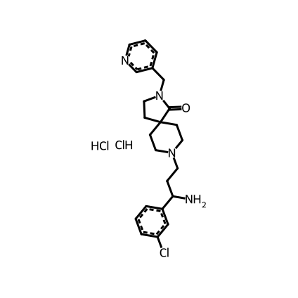 Cl.Cl.NC(CCN1CCC2(CC1)CCN(Cc1cccnc1)C2=O)c1cccc(Cl)c1